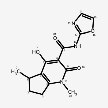 CC1CCc2c1c(O)c(C(=O)Nc1ncco1)c(=O)n2C